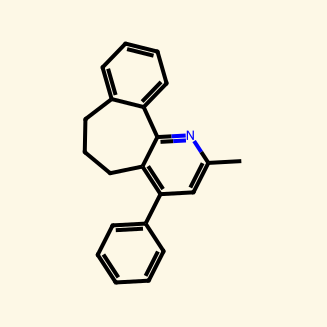 Cc1cc(-c2ccccc2)c2c(n1)-c1ccccc1CCC2